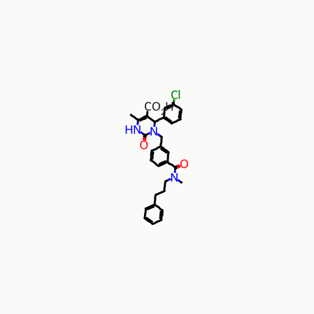 CC1=C(C(=O)O)C(c2cccc(Cl)c2)N(Cc2cccc(C(=O)N(C)CCCc3ccccc3)c2)C(=O)N1